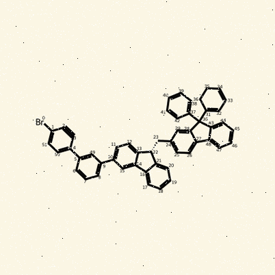 Brc1c#cc(-c2cccc(-c3ccc4c(c3)-c3ccccc3[C@H]4Cc3ccc4c(c3)C(C3=CC=CCC3)(c3ccccc3)c3ccccc3-4)c2)cc1